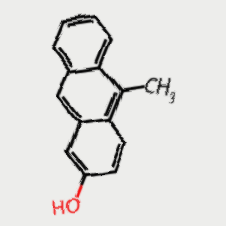 Cc1c2ccccc2cc2cc(O)ccc12